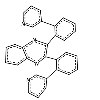 c1cncc(-c2ccccc2-c2nc3ccccc3nc2-c2ccccc2-c2cccnc2)c1